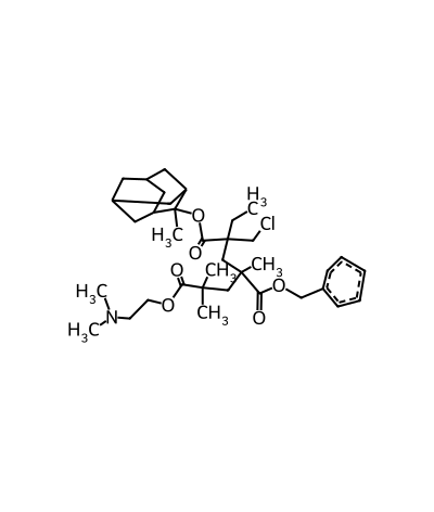 CCC(CCl)(CC(C)(CC(C)(C)C(=O)OCCN(C)C)C(=O)OCc1ccccc1)C(=O)OC1(C)C2CC3CC(C2)CC1C3